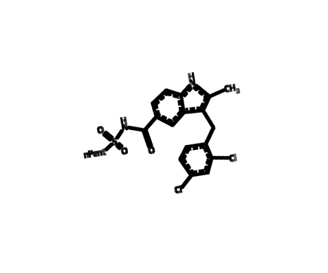 CCCCCS(=O)(=O)NC(=O)c1ccc2[nH]c(C)c(Cc3ccc(Cl)cc3Cl)c2c1